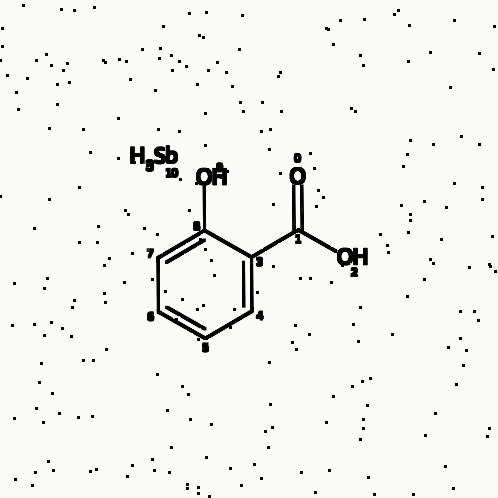 O=C(O)c1ccccc1O.[SbH3]